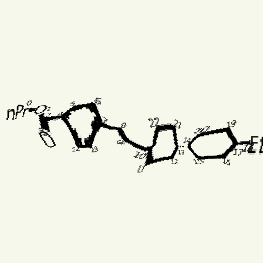 CCCOC(=O)c1ccc(CCC2CCC([C@H]3CC[C@H](CC)CC3)CC2)cc1